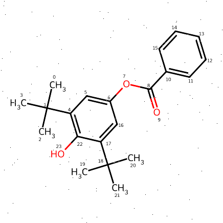 CC(C)(C)c1cc(OC(=O)c2ccccc2)cc(C(C)(C)C)c1O